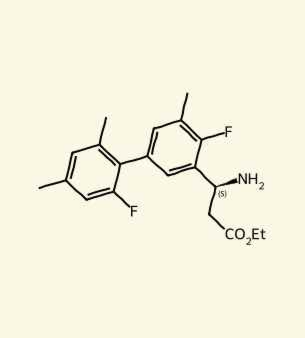 CCOC(=O)C[C@H](N)c1cc(-c2c(C)cc(C)cc2F)cc(C)c1F